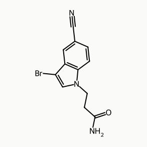 N#Cc1ccc2c(c1)c(Br)cn2CCC(N)=O